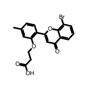 Cc1ccc(-c2cc(=O)c3cccc(Br)c3o2)c(OCCC(=O)O)c1